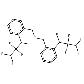 FC(F)C(F)(F)C(F)c1ccccc1COCc1ccccc1C(F)C(F)(F)C(F)F